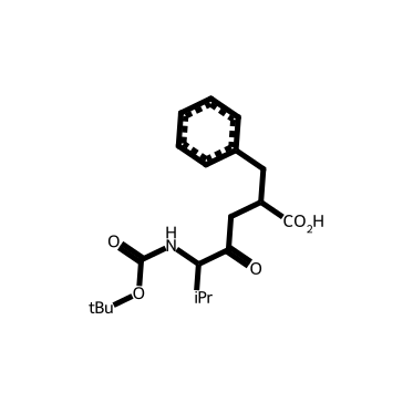 CC(C)C(NC(=O)OC(C)(C)C)C(=O)CC(Cc1ccccc1)C(=O)O